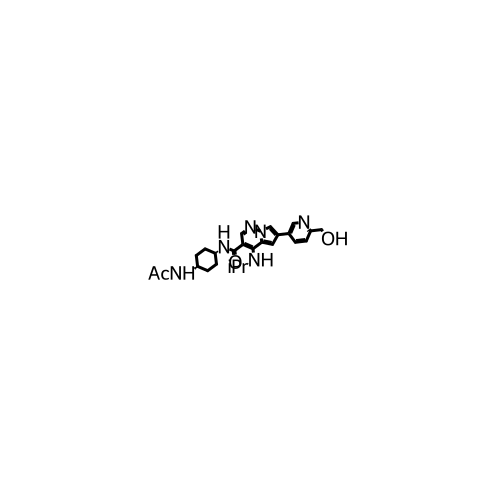 CC(=O)N[C@H]1CC[C@H](NC(=O)c2cnn3cc(-c4ccc(CO)nc4)cc3c2NC(C)C)CC1